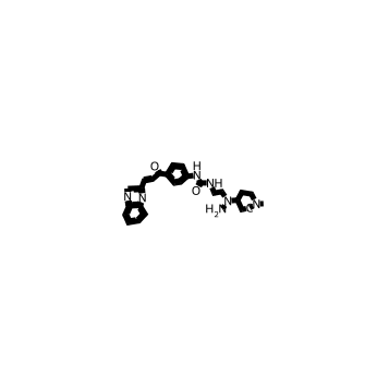 CN1CCC(N(N)CCNC(=O)Nc2ccc(C(=O)C=Cc3cnc4ccccc4n3)cc2)CC1